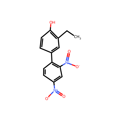 CCc1cc(-c2ccc([N+](=O)[O-])cc2[N+](=O)[O-])ccc1O